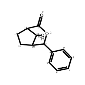 O=C1OC(c2ccccc2)C2CCC1C2O